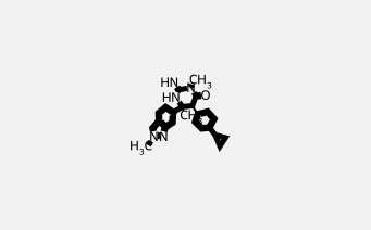 CN1C(=N)N[C@](C)(c2ccc3cn(C)nc3c2)[C@H](c2ccc(C3CC3)cc2)C1=O